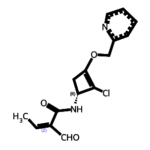 C/C=C(/C=O)C(=O)N[C@@H]1CC(OCc2ccccn2)=C1Cl